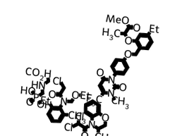 CC1COc2ccccc2N1C(=O)C(Cl)Cl.CCOCN(C(=O)CCl)c1c(C)cccc1CC.CCc1ccc(COc2ccc(-n3c(=O)cc(C(F)(F)F)n(C)c3=O)cc2)c(OC(C)C(=O)OC)c1.O=C(O)CNCP(=O)(O)O